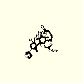 COC(=O)C[C@H]1[C@]2(C)C3=C(C)[C@H](c4ccoc4)C[C@H]3O[C@@H]2[C@@H]2OC(=O)C/C=C\C(=O)[C@@]1(C)[C@@H]2C